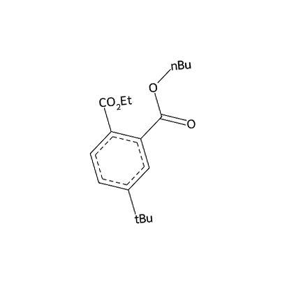 CCCCOC(=O)c1cc(C(C)(C)C)ccc1C(=O)OCC